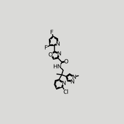 Cn1cc(C(C)(CNC(=O)c2coc(-c3ncc(F)cc3F)n2)c2cccc(Cl)n2)cn1